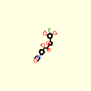 COc1cc(-c2ccc(C(=O)C(OC)c3ccc(N4CCOCC4)cc3)o2)cc(OC)c1F